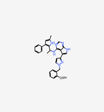 COc1ccccc1Cn1ccc(-c2c[nH]c3ncnc(NC(C)c4[nH]c(C)cc4-c4ccccc4)c23)n1